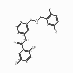 Cc1ccc(Cl)cc1CNCc1cccc(NC(=O)c2cc(Cl)ccc2O)c1